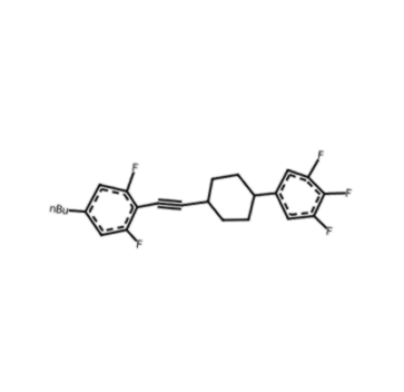 CCCCc1cc(F)c(C#CC2CCC(c3cc(F)c(F)c(F)c3)CC2)c(F)c1